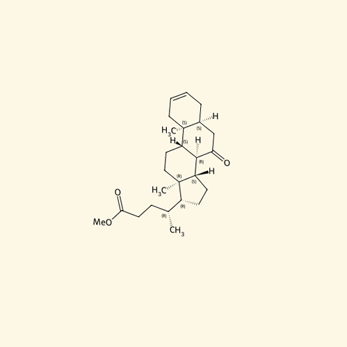 COC(=O)CC[C@@H](C)[C@H]1CC[C@H]2[C@@H]3C(=O)C[C@@H]4CC=CC[C@]4(C)[C@H]3CC[C@]12C